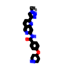 Cn1cc(-c2ccc3cnc(NC(=O)c4ccc(OC5CCNCC5)cc4)cc3n2)nn1